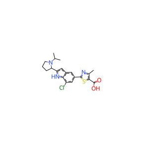 Cc1nc(-c2cc(Cl)c3[nH]c(C4CCCN4C(C)C)cc3c2)sc1C(=O)O